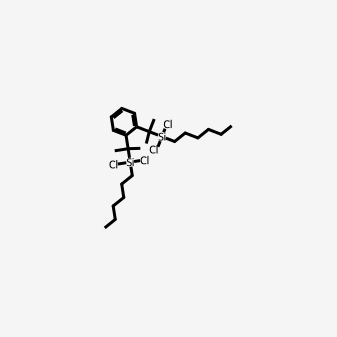 CCCCCC[Si](Cl)(Cl)C(C)(C)c1ccccc1C(C)(C)[Si](Cl)(Cl)CCCCCC